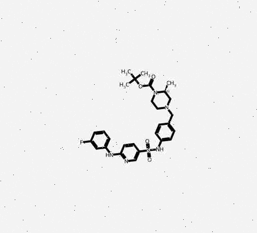 C[C@H]1CN(Cc2ccc(NS(=O)(=O)c3ccc(Nc4cccc(F)c4)nc3)cc2)CCN1C(=O)OC(C)(C)C